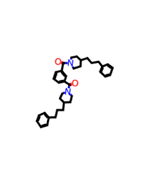 O=C(c1cccc(C(=O)N2CCC(CCCc3ccccc3)CC2)c1)N1CCC(CCCc2ccccc2)CC1